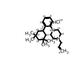 C=CCN1CCN(c2ccccc2C2CC(C)(C)CC(C)(C)C2)CC1.Cl